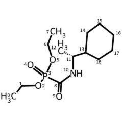 CCOP(=O)(OCC)C(=O)N[C@H](C)C1CCCCC1